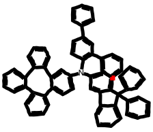 c1ccc(-c2ccc(N(c3ccc4c(c3)-c3ccccc3-c3ccccc3-c3ccccc3-4)c3ccc4c(c3)-c3ccccc3C4(c3ccccc3)c3ccccc3)c(-c3ccccc3)c2)cc1